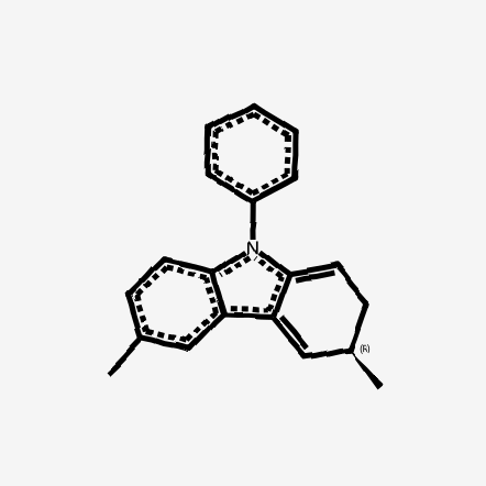 Cc1ccc2c(c1)c1c(n2-c2ccccc2)=CC[C@@H](C)C=1